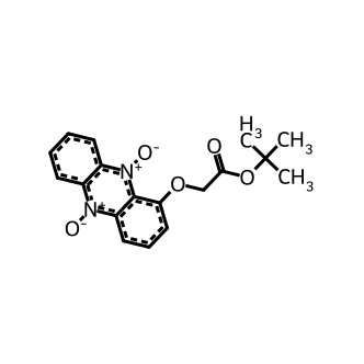 CC(C)(C)OC(=O)COc1cccc2c1[n+]([O-])c1ccccc1[n+]2[O-]